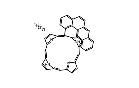 C1=Cc2cc3ccc([nH]3)c(-c3cccc4ccc5cc6ccccc6cc5c34)c3nc(cc4ccc(cc1n2)[nH]4)C=C3.[Cl-].[Cl-].[Fe+2]